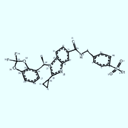 CCS(=O)(=O)c1ccc(CNC(=O)c2ccc3c(c2)nc(C2CC2)n3[C@H](C)c2cccc3c2OC(F)(F)O3)cc1